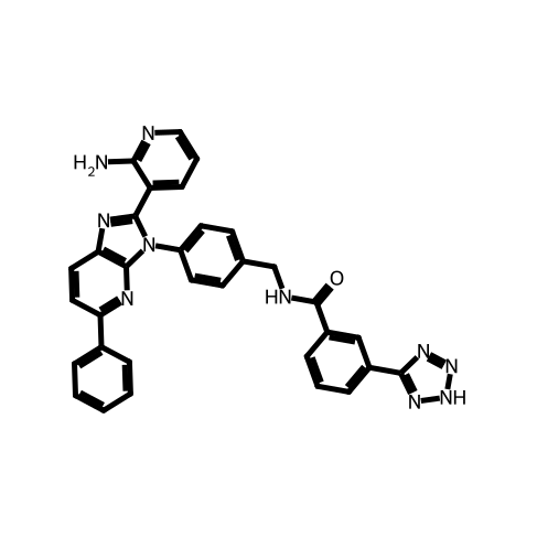 Nc1ncccc1-c1nc2ccc(-c3ccccc3)nc2n1-c1ccc(CNC(=O)c2cccc(-c3nn[nH]n3)c2)cc1